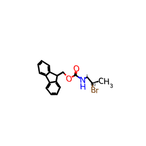 C[C@@H](Br)[CH]NC(=O)OCC1c2ccccc2-c2ccccc21